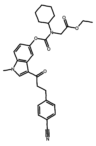 CCOC(=O)CN(C(=O)Oc1ccc2c(c1)c(C(=O)CCc1ccc(C#N)cc1)cn2C)C1CCCCC1